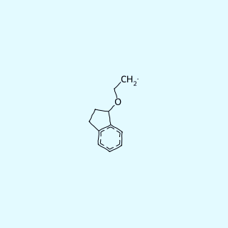 [CH2]COC1CCc2ccccc21